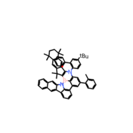 Cc1ccccc1-c1cc2c3c(c1)N(c1ccc(C(C)(C)C)cc1-c1ccccc1)C1=C(B3n3c4cc5ccccc5cc4c4cccc-2c43)C(C)(C)c2cc3c(cc21)C(C)(C)CCC3(C)C